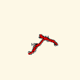 C=CC(=O)OCCCOc1ccc(-c2ccc(C(=O)OC3CCC(C=N)(c4ccc(CCCCCCCCCCc5ccc(C6(/C=N/Nc7ccc8c(c7)c7ccccc7n8CC)CCC(OC(=O)c7ccc(-c8ccc(OCCCOC(=O)C=C)cc8)cc7)CC6)cc5)cc4)CC3)cc2)cc1